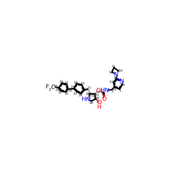 O=C(NCc1ccnc(N2CCC2)c1)O[C@@H]1[C@@H](O)CN[C@@H]1Cc1ccc(-c2ccc(C(F)(F)F)cc2)cc1